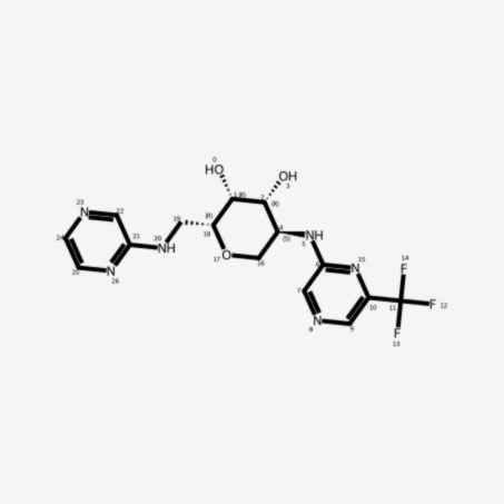 O[C@@H]1[C@H](O)[C@@H](Nc2cncc(C(F)(F)F)n2)CO[C@@H]1CNc1cnccn1